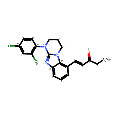 COCC(=O)/C=C/c1cccc2nc3n(c12)CCCN3c1ccc(Cl)cc1Cl